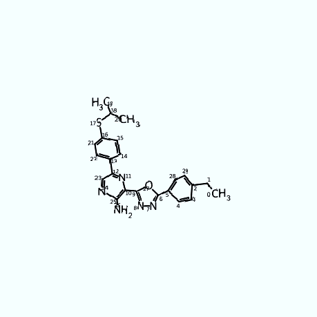 CCc1ccc(-c2nnc(-c3nc(-c4ccc(SC(C)C)cc4)cnc3N)o2)cc1